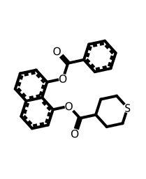 O=C(Oc1cccc2cccc(OC(=O)C3CCSCC3)c12)c1ccccc1